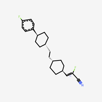 N#C/C(F)=C/[C@H]1CC[C@H](CC[C@H]2CC[C@H](c3ccc(F)cc3)CC2)CC1